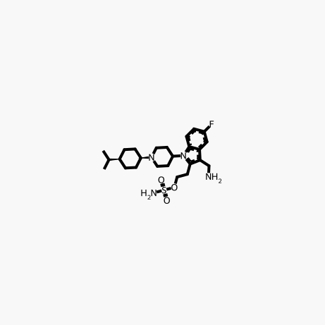 CC(C)[C@H]1CC[C@@H](N2CCC(n3c(CCOS(N)(=O)=O)c(CN)c4cc(F)ccc43)CC2)CC1